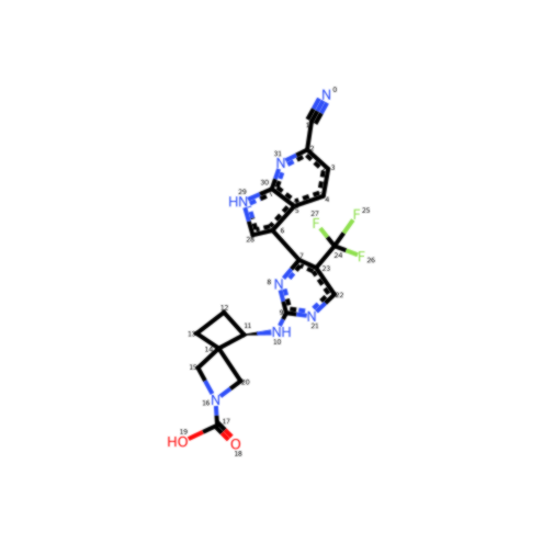 N#Cc1ccc2c(-c3nc(N[C@@H]4CCC45CN(C(=O)O)C5)ncc3C(F)(F)F)c[nH]c2n1